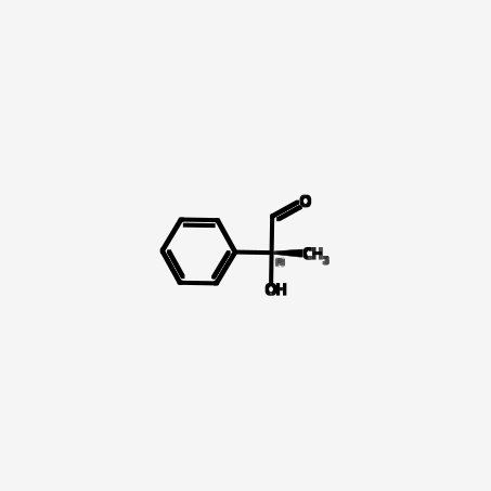 C[C@](O)(C=O)c1ccccc1